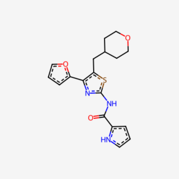 O=C(Nc1nc(-c2ccco2)c(CC2CCOCC2)s1)c1ccc[nH]1